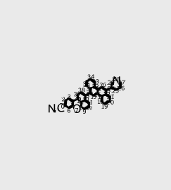 N#Cc1ccc2c(c1)Oc1cccc3c(-c4cc5c6ccccc6c(-c6cccnc6)cc5c5ccccc45)ccc-2c13